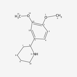 COc1ccc(C2CCCCN2)cc1OC